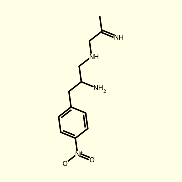 CC(=N)CNCC(N)Cc1ccc([N+](=O)[O-])cc1